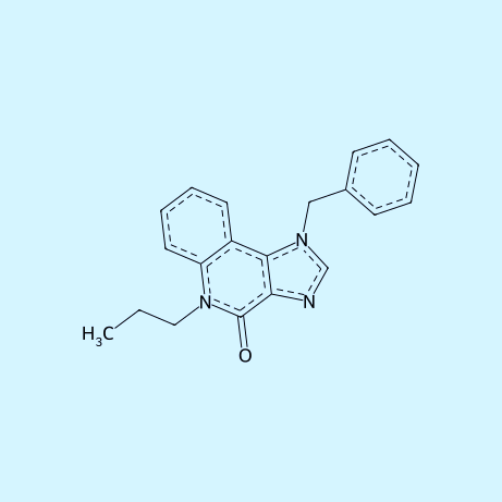 CCCn1c(=O)c2ncn(Cc3ccccc3)c2c2ccccc21